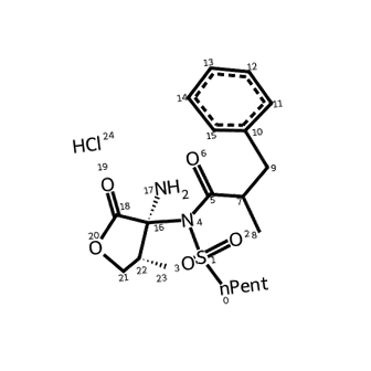 CCCCCS(=O)(=O)N(C(=O)C(C)Cc1ccccc1)[C@]1(N)C(=O)OC[C@H]1C.Cl